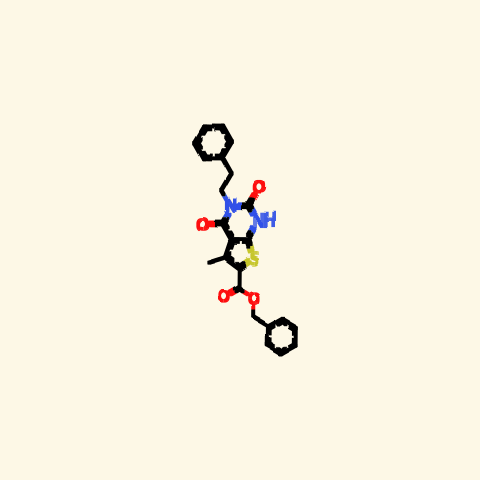 Cc1c(C(=O)OCc2ccccc2)sc2[nH]c(=O)n(CCc3ccccc3)c(=O)c12